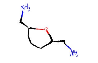 NC[C@@H]1CC[C@H](CN)O1